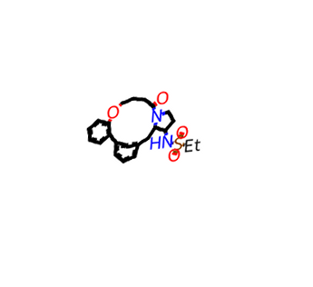 CCS(=O)(=O)NC1CCN2C(=O)CCCOc3ccccc3-c3cccc(c3)CC12